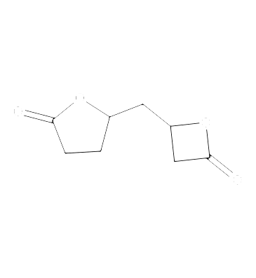 O=C1CCC(CC2CC(=O)O2)O1